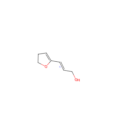 OC/C=C/C1=CCCO1